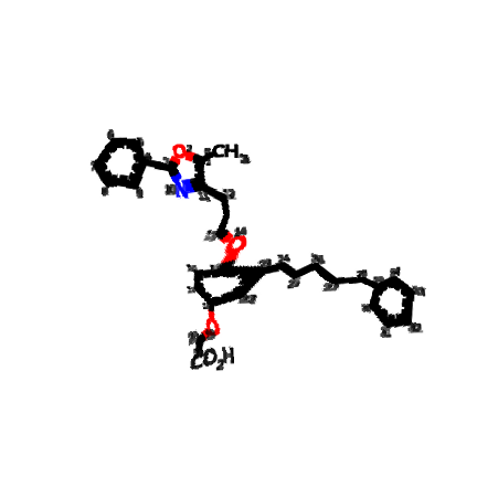 Cc1oc(-c2ccccc2)nc1CCOc1ccc(OCC(=O)O)cc1CCCCCc1ccccc1